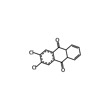 O=C1c2cc(Cl)c(Cl)cc2C(=O)C2C=CC=CC12